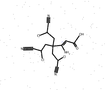 N#CC(Cl)CC(CC(Cl)C#N)(CC(Cl)C#N)/C(N)=C/C(=O)O